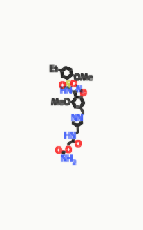 CCc1ccc(OC)c(S(=O)(=O)Nc2noc3cc(Cn4cc(CNC(=O)COC(N)=O)cn4)cc(OC)c23)c1